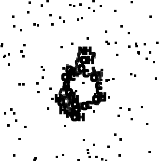 C=C1C2CC3OC(C[C@H](O)CN)[C@H](OC)[C@H]3CC(=O)C[C@H]3CC[C@@H]4O[C@@H]5C[C@@H](O[C@@]6(CCC7CC(=C)[C@H](CCC(C[C@H]1C)O2)O7)C[C@@H](O)[C@@H]5O6)[C@H]4O3